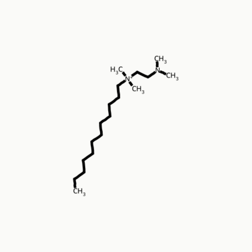 CCCCCCCCCCCC[N+](C)(C)CCN(C)C